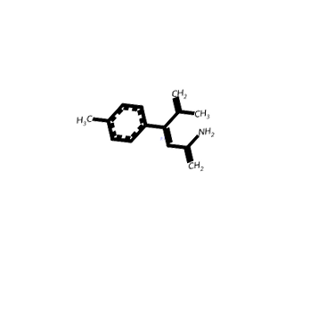 C=C(N)/C=C(\C(=C)C)c1ccc(C)cc1